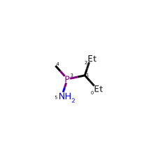 CCC(CC)P(C)N